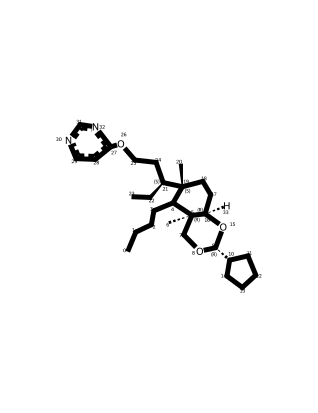 CCCCC1[C@]2(C)CO[C@@H](C3CCCC3)O[C@@H]2CC[C@@]1(C)[C@@H](CC)CCOc1ccncn1